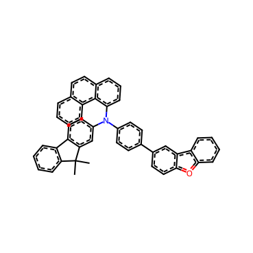 CC1(C)c2ccccc2-c2ccc(N(c3ccc(-c4ccc5oc6ccccc6c5c4)cc3)c3cccc4ccc5ccccc5c34)cc21